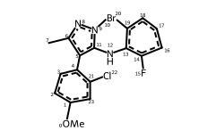 COc1ccc(-c2c(C)nn(C)c2Nc2c(F)cccc2Br)c(Cl)c1